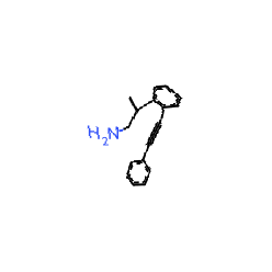 CC(CN)c1ccccc1C#Cc1ccccc1